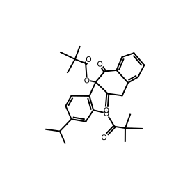 CC(C)c1ccc(C2(OC(=O)C(C)(C)C)C(=O)Cc3ccccc3C2=O)c(OC(=O)C(C)(C)C)c1